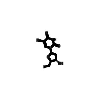 O=c1[nH]c(=O)n([C@H]2C[C@H](O)[C@@H](CI)O2)cc1Br